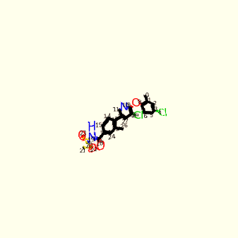 Cc1cc(Cl)ccc1Oc1ncc(-c2ccc(C(=O)NS(C)(=O)=O)cc2C)cc1Cl